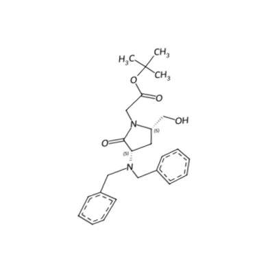 CC(C)(C)OC(=O)CN1C(=O)[C@@H](N(Cc2ccccc2)Cc2ccccc2)C[C@H]1CO